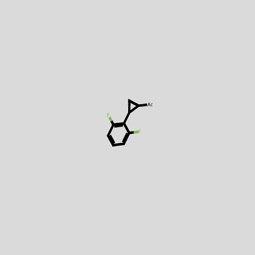 CC(=O)C1CC1c1c(F)cccc1F